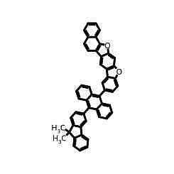 CC1(C)c2ccccc2-c2cc(-c3c4ccccc4c(-c4ccc5oc6cc7oc8c9ccccc9ccc8c7cc6c5c4)c4ccccc34)ccc21